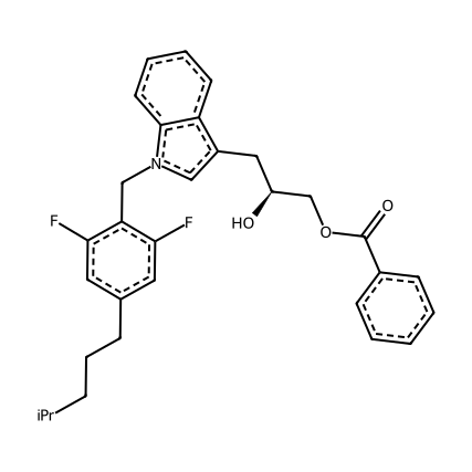 CC(C)CCCc1cc(F)c(Cn2cc(C[C@H](O)COC(=O)c3ccccc3)c3ccccc32)c(F)c1